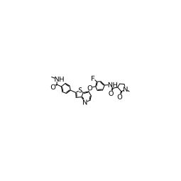 CNC(=O)c1ccc(-c2cc3nccc(Oc4ccc(NC(=O)C5CCN(C)C5=O)cc4F)c3s2)cc1